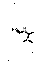 CC(NC=N)N(C)C